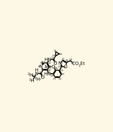 [2H]C([2H])([2H])NC(=O)c1nnc(NC(=O)C2CC2)cc1Nc1cccc(-c2ncc(CC(=O)OCC)o2)c1OC